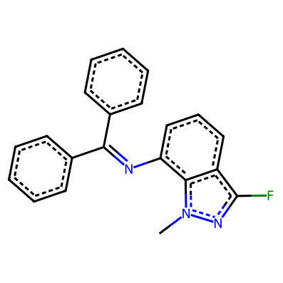 Cn1nc(F)c2cccc(N=C(c3ccccc3)c3ccccc3)c21